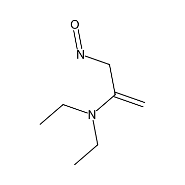 C=C(CN=O)N(CC)CC